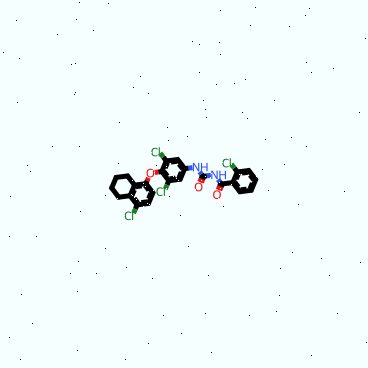 O=C(NC(=O)c1ccccc1Cl)Nc1cc(Cl)c(Oc2ccc(Cl)c3c2CCCC3)c(Cl)c1